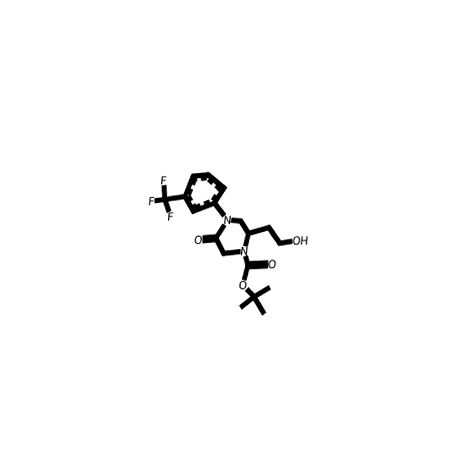 CC(C)(C)OC(=O)N1CC(=O)N(c2cccc(C(F)(F)F)c2)CC1CCO